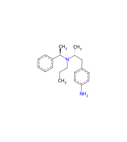 CCCN([C@H](C)Cc1ccc(N)cc1)[C@H](C)c1ccccc1